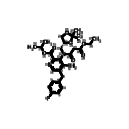 Bc1c(Cc2ccc(F)cc2)cnc(C(=O)OC(C)C)c1N(C[C@@H]1COC(C)(C)O1)C(=O)CC(=O)OCC